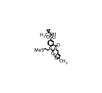 CSCCn1c(=O)n(Cc2cc(C)no2)c(=O)c2cc(S(=O)(=O)NC3(C)CC3)ccc21